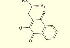 C=C(C)CC1=C(Cl)C(=O)c2ccccc2C1=O